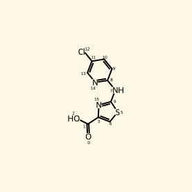 O=C(O)c1csc(Nc2ccc(Cl)cn2)n1